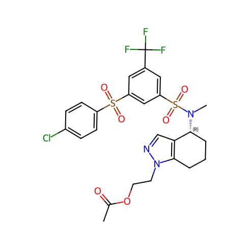 CC(=O)OCCn1ncc2c1CCC[C@H]2N(C)S(=O)(=O)c1cc(C(F)(F)F)cc(S(=O)(=O)c2ccc(Cl)cc2)c1